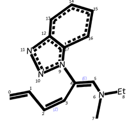 C=C/C=C\C(=C/N(C)CC)n1nnc2ccccc21